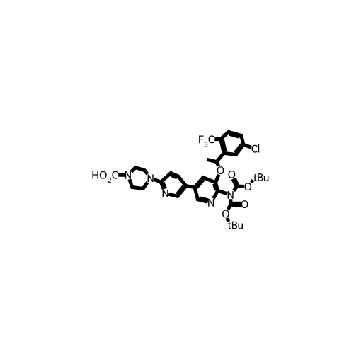 CC(Oc1cc(-c2ccc(N3CCN(C(=O)O)CC3)nc2)cnc1N(C(=O)OC(C)(C)C)C(=O)OC(C)(C)C)c1cc(Cl)ccc1C(F)(F)F